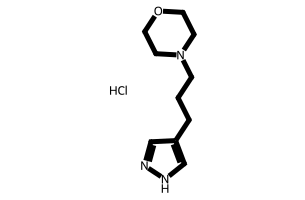 Cl.c1n[nH]cc1CCCN1CCOCC1